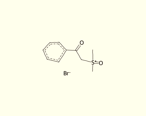 C[S+](C)(=O)CC(=O)c1ccccc1.[Br-]